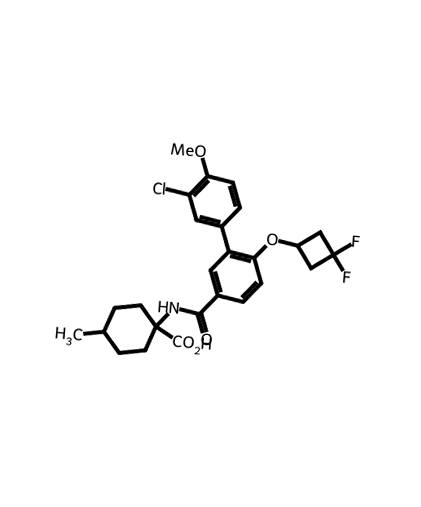 COc1ccc(-c2cc(C(=O)NC3(C(=O)O)CCC(C)CC3)ccc2OC2CC(F)(F)C2)cc1Cl